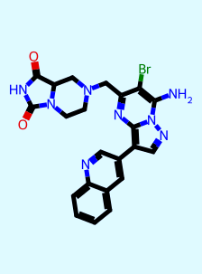 Nc1c(Br)c(CN2CCN3C(=O)NC(=O)C3C2)nc2c(-c3cnc4ccccc4c3)cnn12